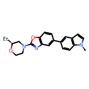 CC[C@H]1CN(c2nc3cc(-c4ccc5c(ccn5C)c4)ccc3o2)CCO1